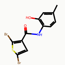 Cc1ccc(NC(=O)c2cc(Br)sc2Br)c(O)c1